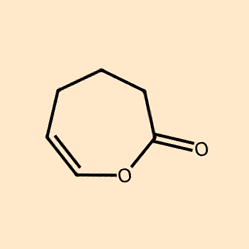 O=C1CCCC=CO1